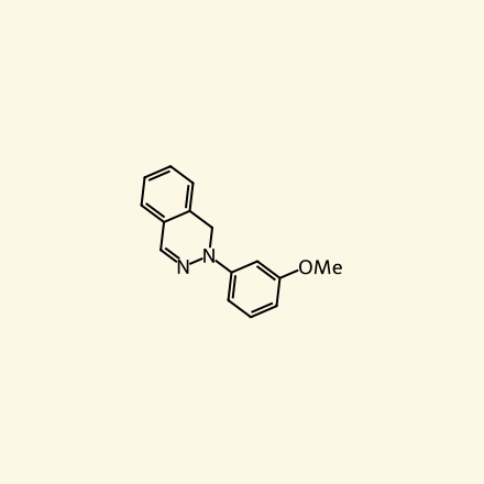 COc1cccc(N2Cc3ccccc3C=N2)c1